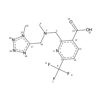 CN(Cc1nc(C(F)(F)F)ccc1C(=O)O)Cc1nnnn1C